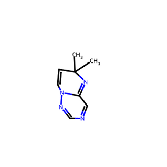 CC1(C)C=CN2N=CN=CC2=N1